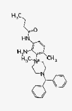 CCCC(=O)Nc1ccc(C)c([N+]2(C)CCN(C(c3ccccc3)c3ccccc3)CC2)c1N